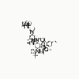 CCN(CCNS(C)(=O)=O)c1ccc(Nc2cc(NC(=O)C(C)(C)C)c(NS(=O)(=O)c3c(C(C)C)cc(C(C)C)cc3C(C)C)cc2NC(=O)C(C)(C)C)c(C)c1